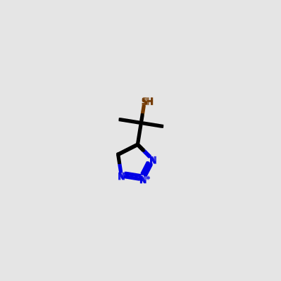 CC(C)(S)C1CN=[N+]=N1